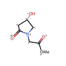 COC(=O)CN1C[C@@H](O)CC1=O